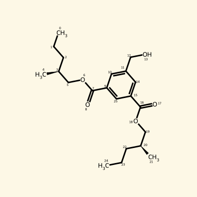 CCC[C@H](C)COC(=O)c1cc(CO)cc(C(=O)OC[C@@H](C)CCC)c1